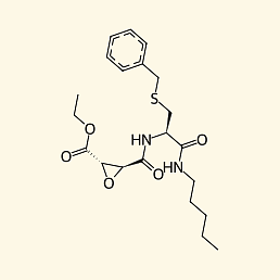 CCCCCNC(=O)[C@H](CSCc1ccccc1)NC(=O)[C@H]1O[C@@H]1C(=O)OCC